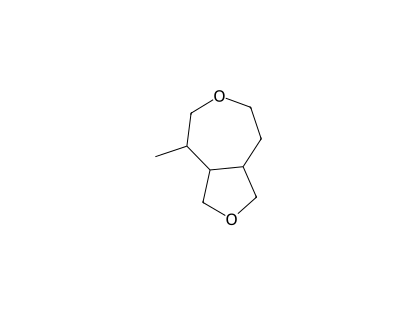 CC1COCCC2COCC12